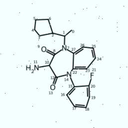 CC(C1CCCC1)N1C(=O)C(N)C(=O)N(c2ccccc2F)c2ccccc21